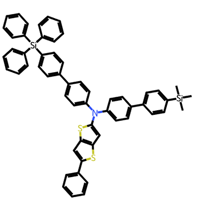 C[Si](C)(C)c1ccc(-c2ccc(N(c3ccc(-c4ccc([Si](c5ccccc5)(c5ccccc5)c5ccccc5)cc4)cc3)c3cc4sc(-c5ccccc5)cc4s3)cc2)cc1